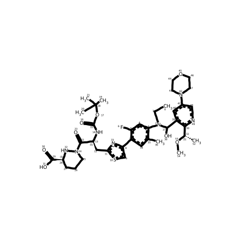 CCN(c1cc(F)c(-c2csc(C[C@H](NC(=O)OC(C)(C)C)C(=O)N3CCC[C@@H](C(=O)O)N3)n2)cc1C)C(O)c1cc(N2CCOCC2)cnc1[C@H](C)OC